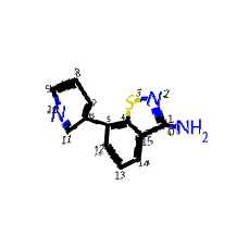 Nc1nsc2c(-c3cccnc3)cccc12